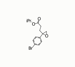 CC(C)OC(=O)CCC1(c2ccc(Br)cc2)CO1